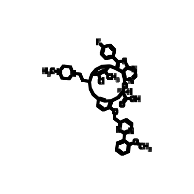 COc1ccccc1-c1nccc(COc2ccc3cc2C[C@H](C(=O)O)Oc2ncnc4sc(-c5ccc(F)cc5)c(c24)-c2ccc(c(Cl)c2C)C(CCN2CCN(C)CC2)CC3)n1